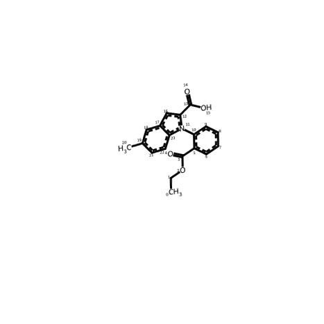 CCOC(=O)c1ccccc1-n1c(C(=O)O)cc2cc(C)ccc21